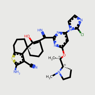 C[C@H](Oc1cc(-n2ccnc2Cl)nc(C(=N)C2=C(O)[C@@]3(CCC2)CCCc2sc(N)c(C#N)c23)n1)[C@@H]1CCCN1C